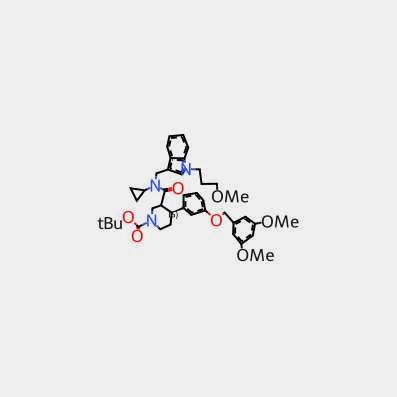 COCCCn1cc(CN(C(=O)C2CN(C(=O)OC(C)(C)C)CC[C@@H]2c2cccc(OCc3cc(OC)cc(OC)c3)c2)C2CC2)c2ccccc21